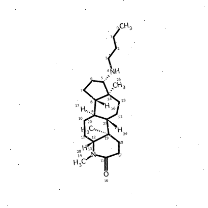 CCCCN[C@H]1CC[C@H]2[C@@H]3CC[C@H]4N(C)C(=O)CC[C@]4(C)[C@H]3CC[C@]12C